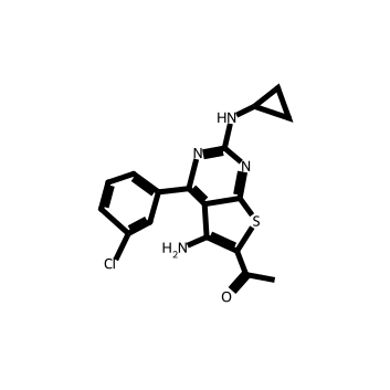 CC(=O)c1sc2nc(NC3CC3)nc(-c3cccc(Cl)c3)c2c1N